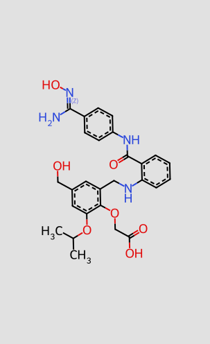 CC(C)Oc1cc(CO)cc(CNc2ccccc2C(=O)Nc2ccc(/C(N)=N/O)cc2)c1OCC(=O)O